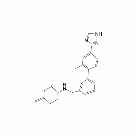 C=C1CCC(NCc2cccc(-c3ccc(-c4nc[nH]n4)cc3C)c2)CC1